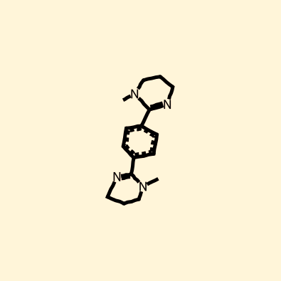 CN1CCCN=C1c1ccc(C2=NCCCN2C)cc1